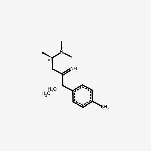 Bc1ccc(CC(=N)C[C@@H](C)N(C)C)cc1.O.O